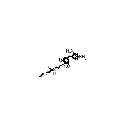 CCCOCCC(=O)NCCCOc1c(OC)cc(Cc2cnc(N)nc2N)cc1OC